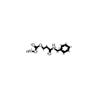 CCCOC(=O)OCCC(=O)NCc1ccccc1